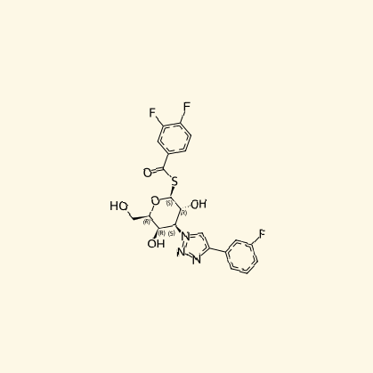 O=C(S[C@@H]1O[C@H](CO)[C@H](O)[C@H](n2cc(-c3cccc(F)c3)nn2)[C@H]1O)c1ccc(F)c(F)c1